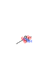 CCCCCCCCC(=O)Nc1ccccc1C1C(C(=O)OCC)=C(C)NC2=C1C(=O)OC2